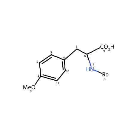 COc1ccc(CC([NH][Rb])C(=O)O)cc1